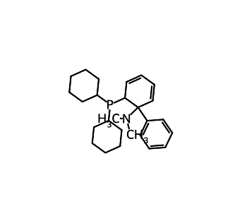 CN(C)C1(c2ccccc2)C=CC=CC1P(C1CCCCC1)C1CCCCC1